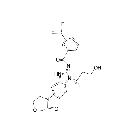 C[C@@H](CCO)n1/c(=N/C(=O)c2cccc(C(F)F)c2)[nH]c2cc(N3CCOCC3=O)ccc21